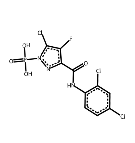 O=C(Nc1ccc(Cl)cc1Cl)c1nn(P(=O)(O)O)c(Cl)c1F